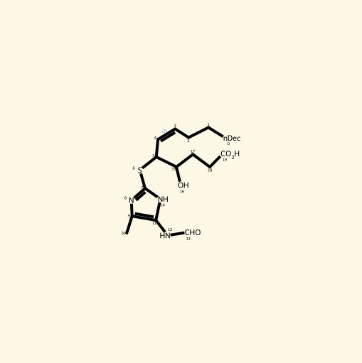 CCCCCCCCCCCC/C=C\C(Sc1nc(C)c(NC=O)[nH]1)C(O)CCC(=O)O